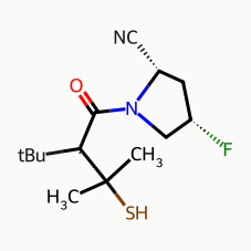 CC(C)(C)[C](C(=O)N1C[C@@H](F)C[C@H]1C#N)C(C)(C)S